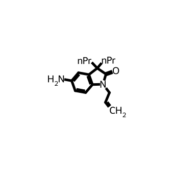 C=CCN1C(=O)C(CCC)(CCC)c2cc(N)ccc21